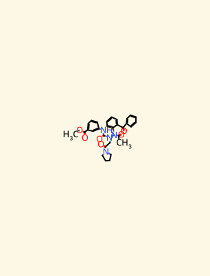 COC(=O)c1cccc(NC(=O)N(CC(=O)N2CCCC2)N(C(C)=O)c2ccccc2C(=O)c2ccccc2)c1